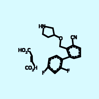 N#Cc1cccc(-c2ccc(F)cc2F)c1COC1CCNC1.O=C(O)C=CC(=O)O